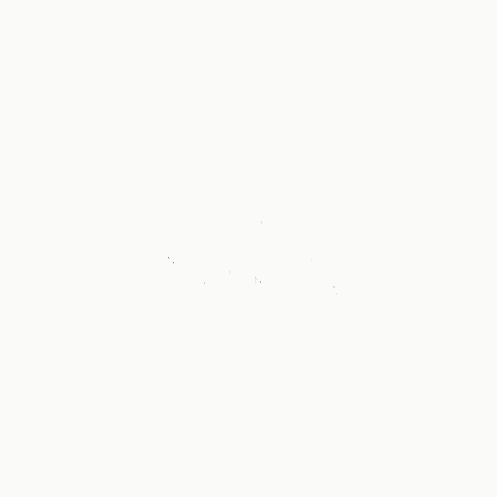 CCn1c2c(Br)cc(C)cc2c2ccnc(C)c21